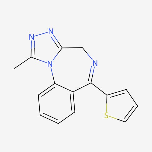 Cc1nnc2n1-c1ccccc1C(c1cccs1)=NC2